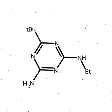 CCNc1nc(N)nc(C(C)(C)C)n1